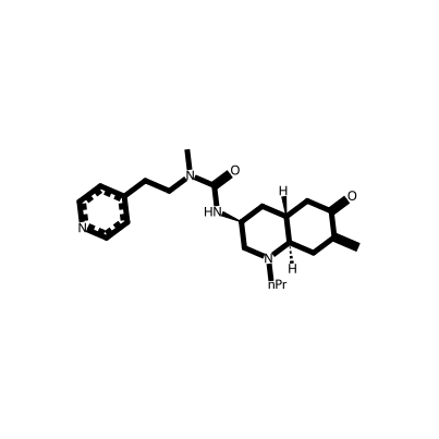 C=C1C[C@@H]2[C@@H](CC1=O)C[C@H](NC(=O)N(C)CCc1ccncc1)CN2CCC